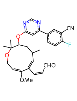 CO/C1=C/COC(C)(C)C(Oc2cc(-c3ccc(F)c(C#N)c3)ncn2)CC(C)/C=C1/C=C\C=O